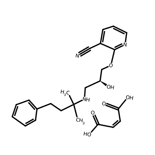 CC(C)(CCc1ccccc1)NC[C@H](O)COc1ncccc1C#N.O=C(O)/C=C\C(=O)O